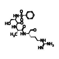 C[C@H](NC(=O)[C@@H](CO)NS(=O)(=O)c1ccccc1)C(=O)N[C@H](C=O)CCCNC(=N)N